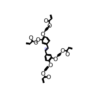 C=CC(=O)OC#COc1ccc(/C=C/c2ccc(OC#COC(=O)C=C)c(OOC(=O)C=C)c2)cc1OC#COC(=O)C=C